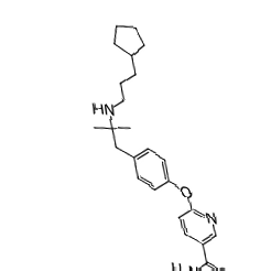 CC(C)(Cc1ccc(Oc2ccc(C(N)=O)cn2)cc1)NCCCC1CCCC1